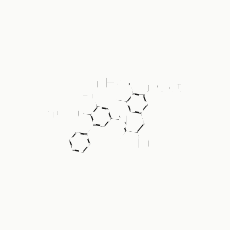 CCCCCCCCc1cc(C=C(CC)C(C)=Nc2cc(CC)c(CCCCCCCC)c(-c3ccccc3)c2)cc(C)c1CCCCCC